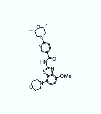 COc1ccc(N2CCOCC2)c2sc(NC(=O)c3ccc(N4C[C@@H](C)O[C@@H](C)C4)nc3)nc12